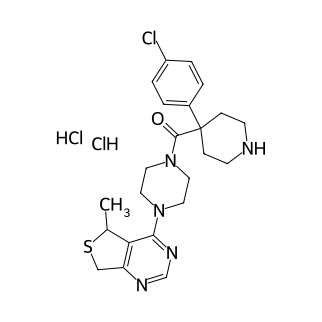 CC1SCc2ncnc(N3CCN(C(=O)C4(c5ccc(Cl)cc5)CCNCC4)CC3)c21.Cl.Cl